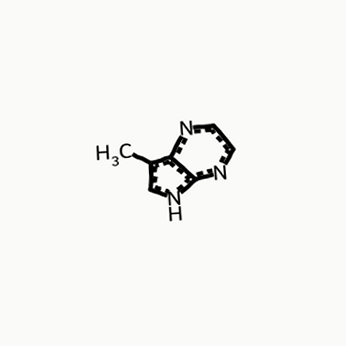 Cc1c[nH]c2nccnc12